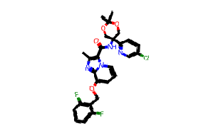 Cc1nc2c(OCc3c(F)cccc3F)cccn2c1C(=O)NC1(c2ccc(Cl)cn2)COC(C)(C)OC1